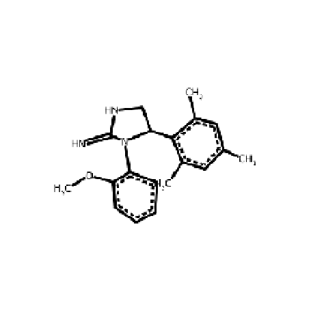 COc1ccccc1N1C(=N)NCC1c1c(C)cc(C)cc1C